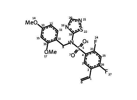 C=Cc1cc(S(=O)(=O)N(Cc2ccc(OC)cc2OC)c2ncns2)c(F)cc1F